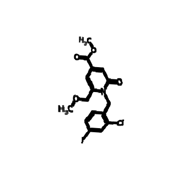 COCc1cc(C(=O)OC)cc(=O)n1Cc1ccc(I)cc1Cl